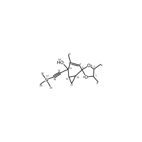 CC1=CC2(OC(C)C(C)O2)C2CC2C1(O)C#C[Si](C)(C)C